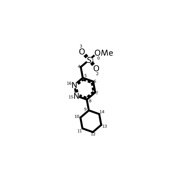 COS(=O)(=O)Cc1ccc(C2CCCCC2)nn1